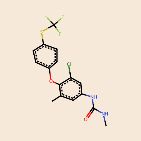 CNC(=O)Nc1cc(C)c(Oc2ccc(SC(F)(F)F)cc2)c(Cl)c1